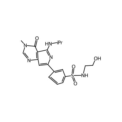 CC(C)Nc1nc(-c2cccc(S(=O)(=O)NCCO)c2)cc2ncn(C)c(=O)c12